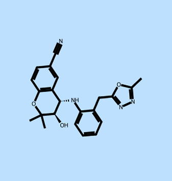 Cc1nnc(Cc2ccccc2N[C@H]2c3cc(C#N)ccc3OC(C)(C)[C@@H]2O)o1